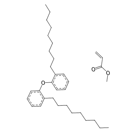 C=CC(=O)OC.CCCCCCCCCc1ccccc1Oc1ccccc1CCCCCCCCC